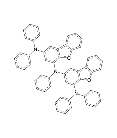 c1ccc(N(c2ccccc2)c2cc(N(c3ccccc3)c3cc(N(c4ccccc4)c4ccccc4)c4oc5ccccc5c4c3)c3oc4ccccc4c3c2)cc1